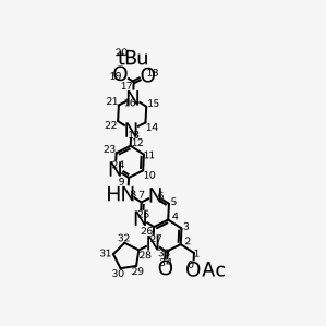 CC(=O)OCc1cc2cnc(Nc3ccc(N4CCN(C(=O)OC(C)(C)C)CC4)cn3)nc2n(C2CCCC2)c1=O